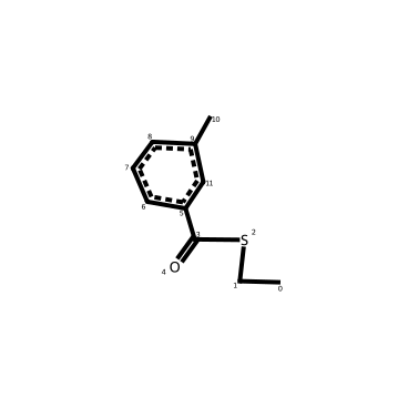 CCSC(=O)c1cccc(C)c1